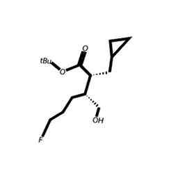 CC(C)(C)OC(=O)[C@H](CC1CC1)[C@H](CO)CCCF